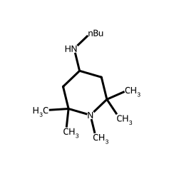 CCCCNC1CC(C)(C)N(C)C(C)(C)C1